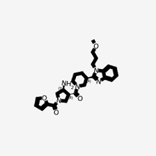 COCCCn1c([C@@H]2CCCN(C(=O)[C@@H]3CN(C(=O)c4ccco4)C[C@H]3N)C2)nc2ccccc21